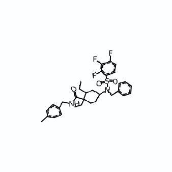 CCC1CC(N(Cc2ccccc2)S(=O)(=O)c2ccc(F)c(F)c2F)CCC1(CC)C(=O)NCc1ccc(C)cc1